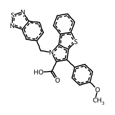 COc1ccc(-c2c(C(=O)O)n(Cc3ccc4nsnc4c3)c3c2sc2ccccc23)cc1